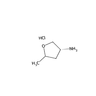 CC1C[C@@H](N)CO1.Cl